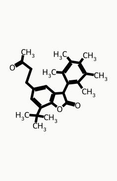 CC(=O)CCc1cc2c(c(C(C)(C)C)c1)OC(=O)C2c1c(C)c(C)c(C)c(C)c1C